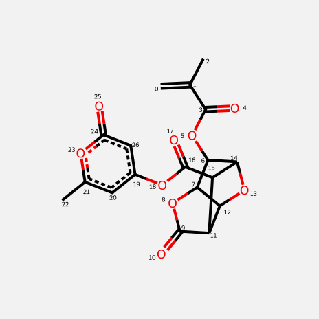 C=C(C)C(=O)OC1C2OC(=O)C3C2OC1C3C(=O)Oc1cc(C)oc(=O)c1